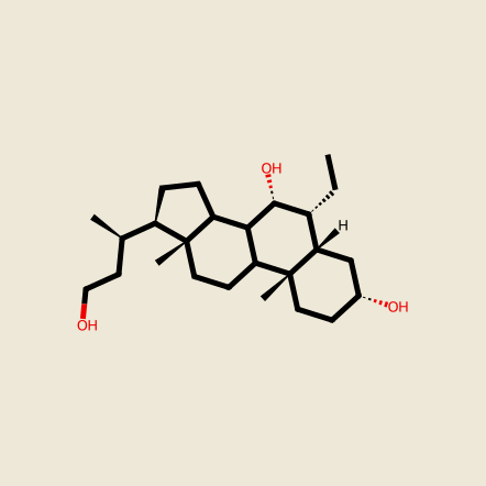 CC[C@H]1[C@@H](O)C2C3CC[C@H]([C@H](C)CCO)[C@@]3(C)CCC2[C@@]2(C)CC[C@@H](O)C[C@@H]12